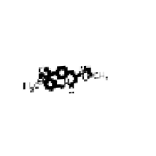 COc1ccc(CN2C(=O)CC(c3ncc(C)o3)=Cc3ccc(-c4ccoc4)cc32)cc1